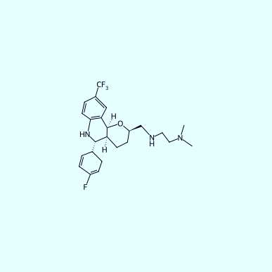 CN(C)CCNC[C@H]1CC[C@@H]2[C@H](O1)c1cc(C(F)(F)F)ccc1N[C@H]2C1C=CC(F)=CC1